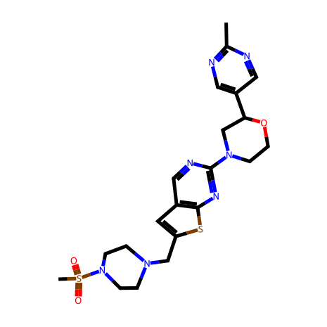 Cc1ncc(C2CN(c3ncc4cc(CN5CCN(S(C)(=O)=O)CC5)sc4n3)CCO2)cn1